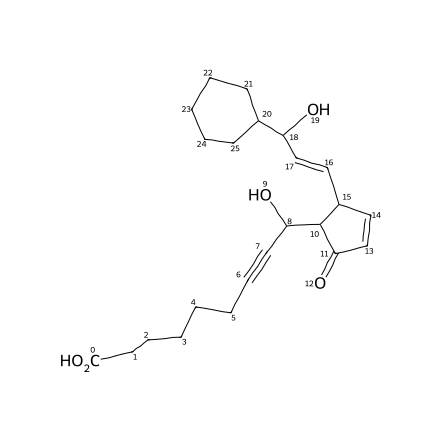 O=C(O)CCCCCC#CC(O)C1C(=O)C=CC1C=CC(O)C1CCCCC1